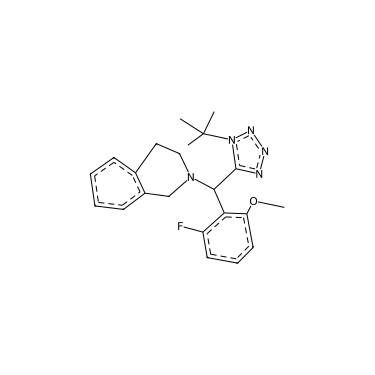 COc1cccc(F)c1C(c1nnnn1C(C)(C)C)N1CCc2ccccc2C1